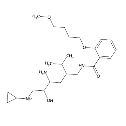 COCCCCOc1ccccc1C(=O)NCC(CC(N)C(O)CNC1CC1)C(C)C